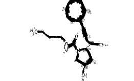 CCCCOC(=O)N1C[C@H](S)C[C@H]1C(=O)C#Cc1ccccc1